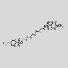 Cc1ccc(S(=O)(=O)OCCCCCCCCCCOS(=O)(=O)c2ccc(C)cc2)cc1